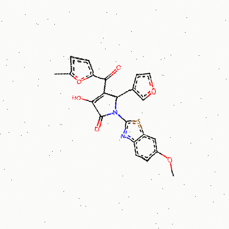 COc1ccc2nc(N3C(=O)C(O)=C(C(=O)c4ccc(C)o4)C3c3ccoc3)sc2c1